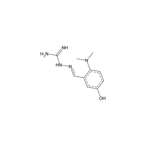 CN(C)c1ccc(O)cc1/C=N/NC(=N)N